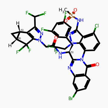 CS(=O)(=O)Nc1nn(CC(F)(F)F)c2c(-n3c([C@H](Cc4cc(F)cc(F)c4)NC(=O)Cn4nc(C(F)F)c5c4C(F)(F)[C@@H]4C[C@H]54)nc4cc(Br)ccc4c3=O)ccc(Cl)c12